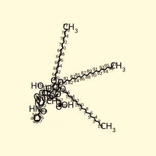 CCCCCCCCCCCCCCCCCCOc1cc(C(OC(=O)CCC(=O)O)[C@@]2(O)[C@@H](CO)O[C@@H](n3ccc(NC(=O)c4ccccc4)nc3=O)[C@@H]2OC)cc(OCCCCCCCCCCCCCCCCCC)c1OCCCCCCCCCCCCCCCCCC